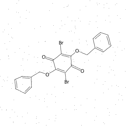 O=C1C(Br)=C(OCc2ccccc2)C(=O)C(Br)=C1OCc1ccccc1